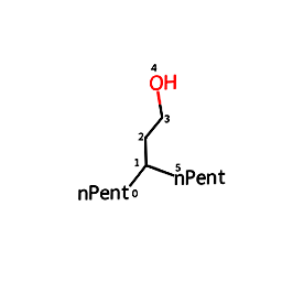 CCCCCC(CCO)CCCCC